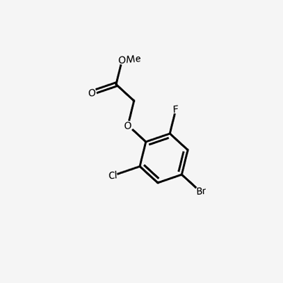 COC(=O)COc1c(F)cc(Br)cc1Cl